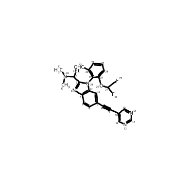 CCC(c1nc2ccc(C#Cc3cncnc3)cc2n1-c1c(C=O)cccc1OC(F)F)N(C)C